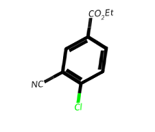 CCOC(=O)c1ccc(Cl)c(C#N)c1